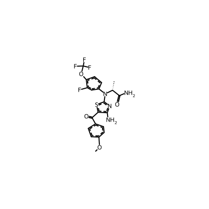 COc1ccc(C(=O)c2sc(N(c3ccc(OC(F)(F)F)c(F)c3)[C@H](C)C(N)=O)nc2N)cc1